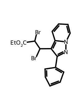 CCOC(=O)C(Br)C(Br)c1c(-c2ccccc2)nn2ccccc12